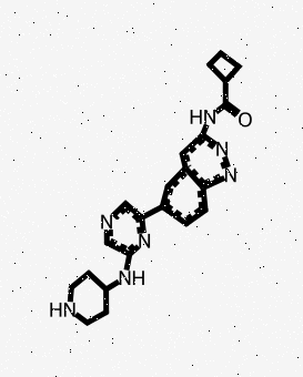 O=C(Nc1cc2cc(-c3cncc(NC4CCNCC4)n3)ccc2nn1)C1CCC1